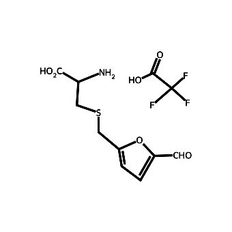 NC(CSCc1ccc(C=O)o1)C(=O)O.O=C(O)C(F)(F)F